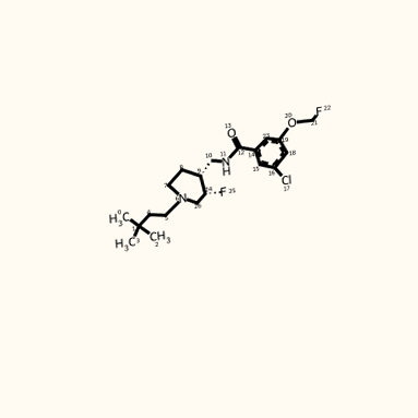 CC(C)(C)CCN1CC[C@H](CNC(=O)c2cc(Cl)cc(OCF)c2)[C@H](F)C1